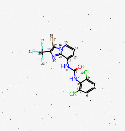 O=C(Nc1c(Cl)cccc1Cl)Nc1cccn2c(Br)c(C(F)(F)F)nc12